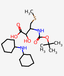 C1CCC(NC2CCCCC2)CC1.CSCC(NC(=O)OC(C)(C)C)C(O)C(=O)O